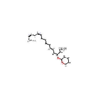 CCCCC/C=C\C/C=C\CCCCCCCC(CC(=O)O)OC1CCCCO1